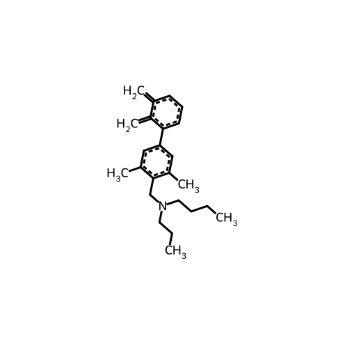 C=c1cccc(-c2cc(C)c(CN(CCC)CCCC)c(C)c2)c1=C